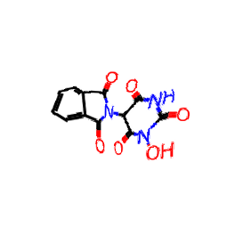 O=C1NC(=O)N(O)C(=O)C1N1C(=O)c2ccccc2C1=O